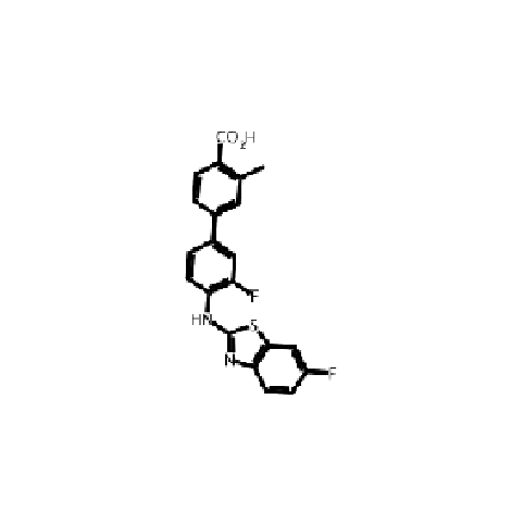 Cc1cc(-c2ccc(Nc3nc4ccc(F)cc4s3)c(F)c2)ccc1C(=O)O